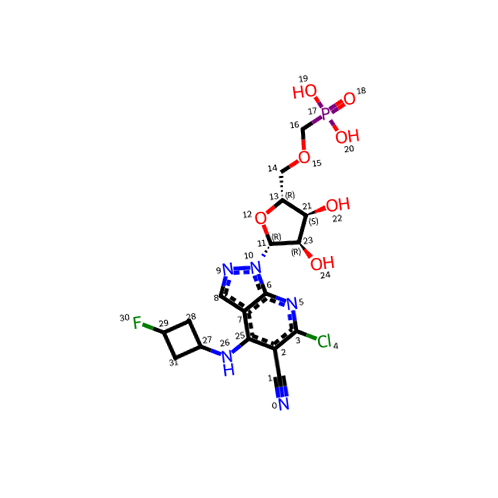 N#Cc1c(Cl)nc2c(cnn2[C@@H]2O[C@H](COCP(=O)(O)O)[C@@H](O)[C@H]2O)c1NC1CC(F)C1